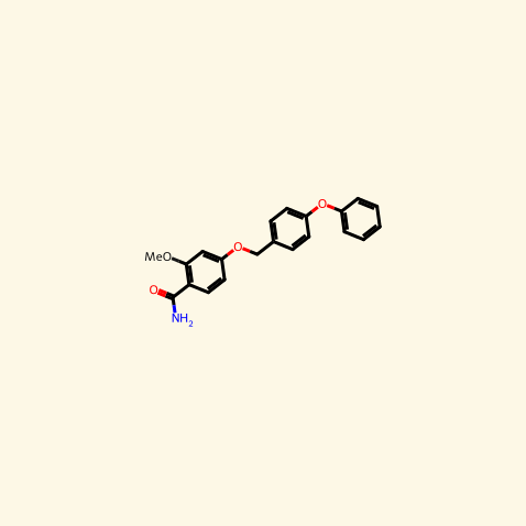 COc1cc(OCc2ccc(Oc3ccccc3)cc2)ccc1C(N)=O